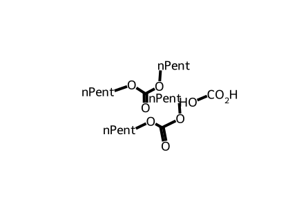 CCCCCOC(=O)OCCCCC.CCCCCOC(=O)OCCCCC.O=C(O)O